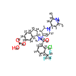 Cc1cc(N2CCC([N+](C)(C(=O)c3cccc(C(F)(F)F)c3Cl)C3CCc4ccc(OC(=O)O)cc43)CC2)cc(C)n1